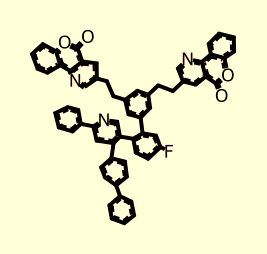 O=c1oc2ccccc2c2ncc(CCc3cc(CCc4cnc5c(c4)c(=O)oc4ccccc45)cc(-c4cc(F)ccc4-c4cnc(-c5ccccc5)cc4-c4ccc(-c5ccccc5)cc4)c3)cc12